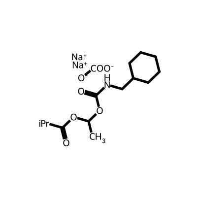 CC(OC(=O)NCC1CCCCC1)OC(=O)C(C)C.O=C([O-])[O-].[Na+].[Na+]